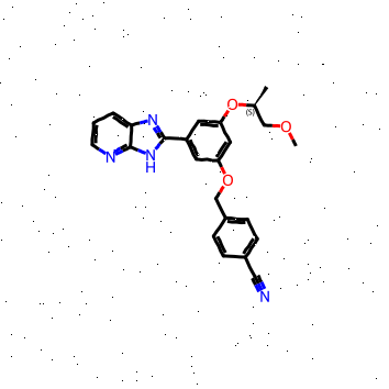 COC[C@H](C)Oc1cc(OCc2ccc(C#N)cc2)cc(-c2nc3cccnc3[nH]2)c1